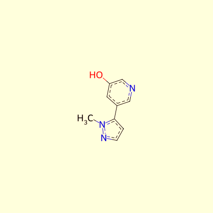 Cn1nccc1-c1cncc(O)c1